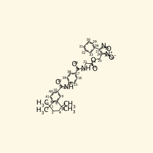 CC1(C)CCC(C)(C)c2cc(C(=O)Nc3ccc(C(=O)NCC(=O)OCc4c(-c5ccccc5)no[n+]4[O-])cc3)ccc21